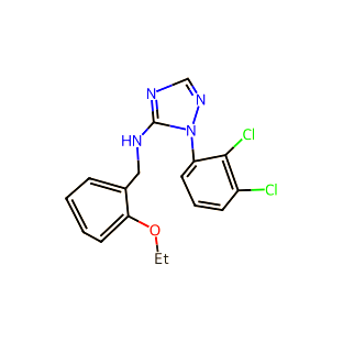 CCOc1ccccc1CNc1ncnn1-c1cccc(Cl)c1Cl